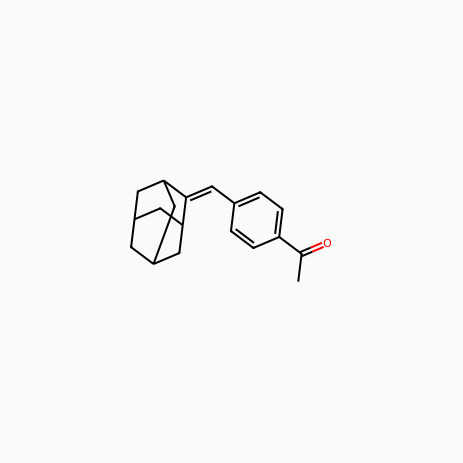 CC(=O)c1ccc(C=C2C3CC4CC(C3)CC2C4)cc1